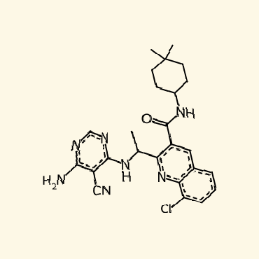 CC(Nc1ncnc(N)c1C#N)c1nc2c(Cl)cccc2cc1C(=O)NC1CCC(C)(C)CC1